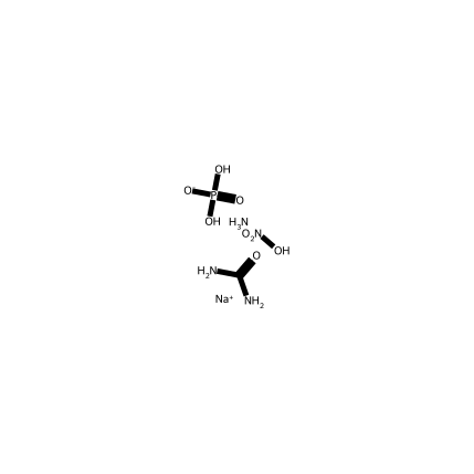 N.NC(N)=O.O=P([O-])(O)O.O=[N+]([O-])O.[Na+]